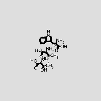 C[C@@H](O)[C@H](N)C(=O)O.C[C@@H](O)[C@H](N)C(=O)O.N[C@@H](Cc1c[nH]c2ccccc12)C(=O)O